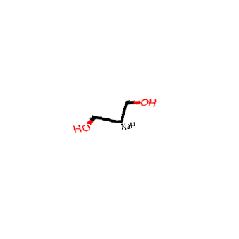 OCCCO.[NaH]